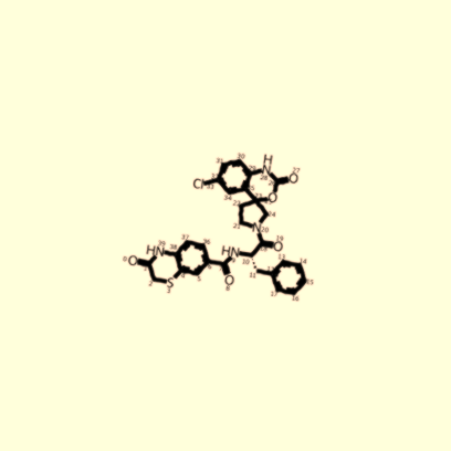 O=C1CSc2cc(C(=O)N[C@@H](Cc3ccccc3)C(=O)N3CCC4(C3)OC(=O)Nc3ccc(Cl)cc34)ccc2N1